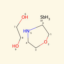 C1COCCN1.OCCO.[SbH3]